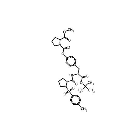 COC(=O)C1CCCN1C(=O)Oc1ccc(C[C@H](NC(=O)[C@@H]2CCCN2S(=O)(=O)c2ccc(C)cc2)C(=O)OC(C)(C)C)cc1